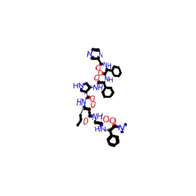 CCC[C@H](NC(=O)[C@@H]1CNC[C@@H]1NC(=O)[C@@H](NC(=O)[C@@H](NC(=O)c1cnccn1)C1CCCCC1)C1CCCCC1)C(=O)C(=O)NCC(=O)N[C@H](C(=O)N(C)C)c1ccccc1